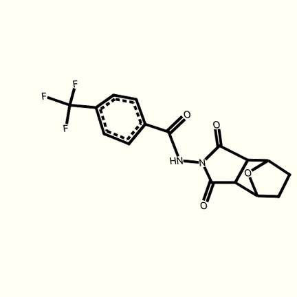 O=C(NN1C(=O)C2C3CCC(O3)C2C1=O)c1ccc(C(F)(F)F)cc1